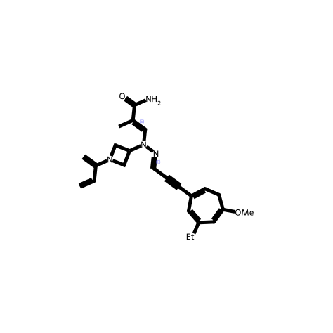 C=CC(=C)N1CC(N(/C=C(\C)C(N)=O)/N=C/C#CC2=CCC(OC)=CC(CC)=C2)C1